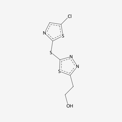 OCCc1nnc(Sc2ncc(Cl)s2)s1